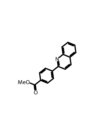 COC(=O)c1ccc(-c2ccc3ccccc3n2)cc1